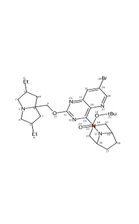 CCC1CN2CC(CC)CC2(COc2nc(N3CC4CCC(C3)N4C(=O)OC(C)(C)C)c3ncc(Br)cc3n2)C1